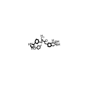 CN(C(=O)Cc1ccc2c(c1)NS(O)(O)C2)[C@H](CN1CC[C@H](O)C1)c1cccc(-c2ncc[nH]2)c1